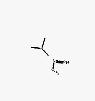 CN(C)F.P=NP